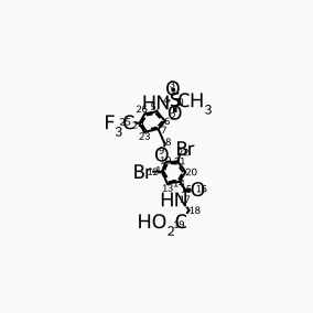 CS(=O)(=O)Nc1cc(COc2c(Br)cc(C(=O)NCC(=O)O)cc2Br)cc(C(F)(F)F)c1